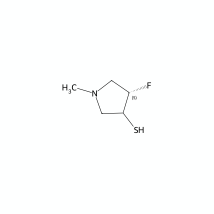 CN1CC(S)[C@@H](F)C1